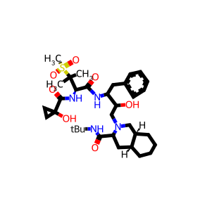 CC(C)(C)NC(=O)C1C[C@@H]2CCCC[C@@H]2CN1CC(O)C(Cc1ccccc1)NC(=O)[C@@H](NC(=O)C1(O)CC1)C(C)(C)S(C)(=O)=O